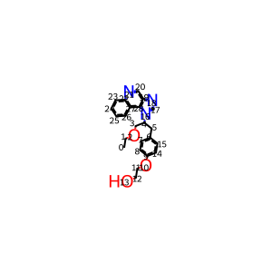 CCOCC(Cc1ccc(OCCO)cc1)n1cnc2cnc3ccccc3c21